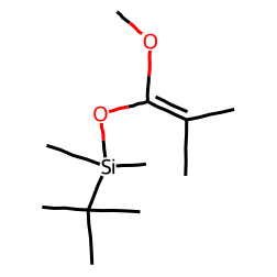 COC(O[Si](C)(C)C(C)(C)C)=C(C)C